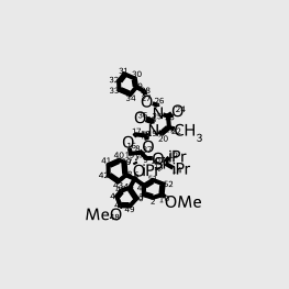 COc1ccc(C(OC[C@]2(CO[Si](C(C)C)(C(C)C)C(C)C)COC[C@H](n3cc(C)c(=O)n(COCc4ccccc4)c3=O)O2)(c2ccccc2)c2ccc(OC)cc2)cc1